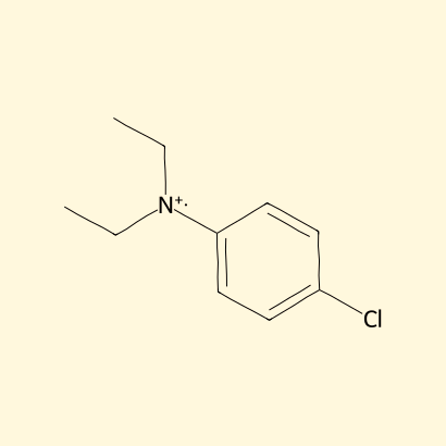 CC[N+](CC)c1ccc(Cl)cc1